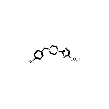 N#Cc1ccc(CN2CCN(c3ncc(C(=O)O)s3)CC2)cc1